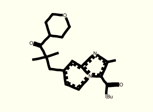 Cc1nc2cc(CC(C)(C)C(=O)C3CCOCC3)ccn2c1C(=O)C(C)(C)C